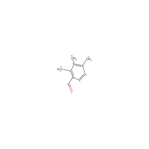 Cc1ccc([C]=O)c(C)c1C